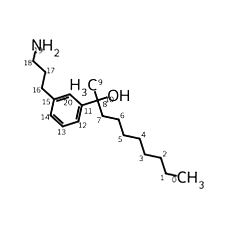 CCCCCCCCC(C)(O)c1cccc(CCCN)c1